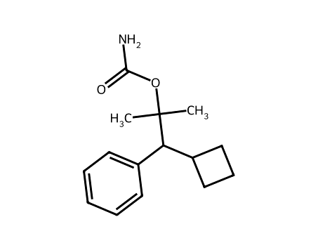 CC(C)(OC(N)=O)C(c1ccccc1)C1CCC1